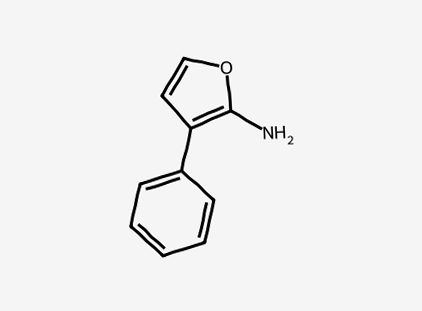 Nc1occc1-c1ccccc1